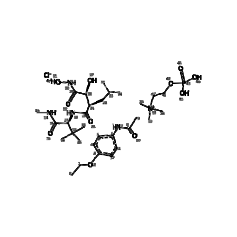 CCOc1ccc(NC(C)=O)cc1.CNC(=O)[C@@H](NC(=O)[C@H](CC(C)C)[C@H](O)C(=O)NO)C(C)(C)C.C[N+](C)(C)CCOP(=O)(O)O.[Cl-]